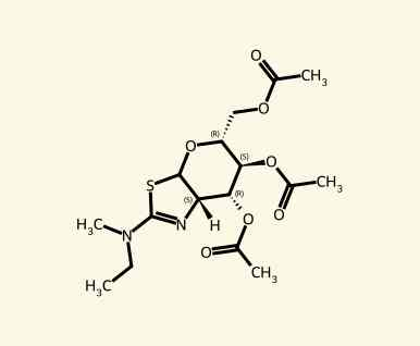 CCN(C)C1=N[C@@H]2C(O[C@H](COC(C)=O)[C@@H](OC(C)=O)[C@@H]2OC(C)=O)S1